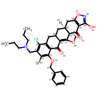 CCCN(CCC)Cc1c(F)c2c(c(OCc3ccccc3)c1Br)C(=O)C1=C3OC[C@]34C(=O)c3c(O)noc3C[C@@H]4CC1C2